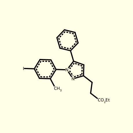 CCOC(=O)CCc1cc(-c2ccccc2)n(-c2ccc(I)cc2C)n1